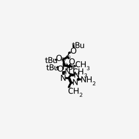 C=Cc1nc(N)nc2c1ncn2C1([SiH](C)C)O[C@H](COC(C)(C)C)[C@@H](OC(C)(C)C)[C@H]1OC(C)(C)C